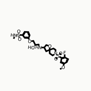 CNS(=O)(=O)c1cccc(OC[C@@H](O)CNC2COC3(CCN(S(=O)(=O)c4cc(OC)ccc4F)CC3)C2)c1